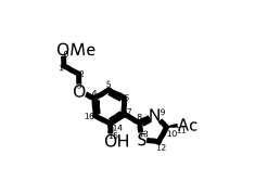 COCCOc1ccc(C2=N[C@@H](C(C)=O)CS2)c(O)c1